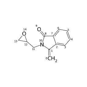 C=C1c2ccccc2C(=O)N1CC1CO1